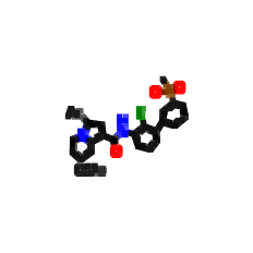 COc1ccn2c(C(C)=O)cc(C(=O)Nc3cccc(-c4cccc(S(C)(=O)=O)c4)c3F)c2c1